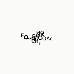 CC(=O)OC1CCc2c(S(=O)(=O)N(C)CCc3ccc(F)cc3)csc2/C1=N\O